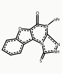 CCCn1c(=O)c2oc3ccccc3c2n2c(=S)[nH]nc12